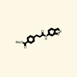 COC(=O)c1ccc(CCC(=O)Nc2ccc3cnsc3c2)cc1